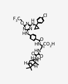 C[C@@H]1[C@H]2C[C@H](C[C@H]1NC(=O)C(=O)NC[C@H](NC(=O)c1ccc(Nc3nc(NC4(c5ccc(Cl)cc5)CC4)nc(OCC(F)(F)F)n3)cc1)C(=O)O)C2(C)C